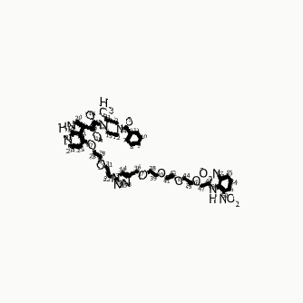 C[C@@H]1CN(C(=O)c2ccccc2)CCN1C(=O)C(=O)c1c[nH]c2nccc(OCCOCCn3cc(COCCOCCOCCOCCNc4c([N+](=O)[O-])cccc4[N+](=O)[O-])nn3)c12